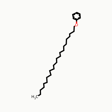 CCCCCCCCCCCCCCCCCCCCCCCOc1[c]cccc1